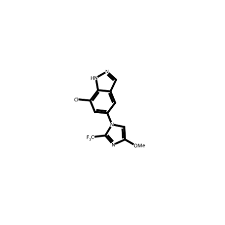 COc1cn(-c2cc(Cl)c3[nH]ncc3c2)c(C(F)(F)F)n1